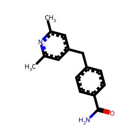 Cc1cc(Cc2ccc(C(N)=O)cc2)cc(C)n1